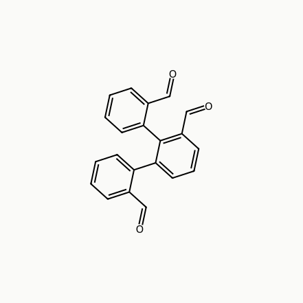 O=Cc1ccccc1-c1cccc(C=O)c1-c1ccccc1C=O